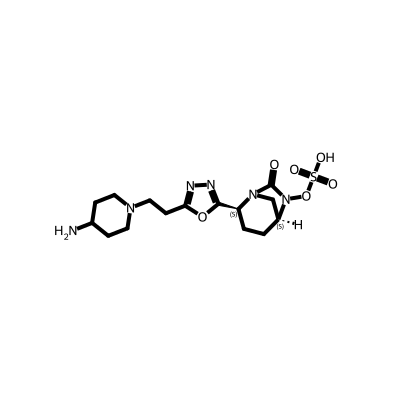 NC1CCN(CCc2nnc([C@@H]3CC[C@H]4CN3C(=O)N4OS(=O)(=O)O)o2)CC1